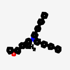 c1ccc(-c2ccc(-c3ccc(-c4ccc5c(c4)c4cc(-c6ccc(-c7ccc(-c8ccccc8)cc7)cc6)ccc4n5-c4ccc5c(c4)[SiH2]c4cc(-c6ccc7oc8ccccc8c7c6)ccc4-5)cc3)cc2)cc1